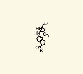 COC(=O)C1CCc2cc(Nc3[nH]c(C=O)cc3OCI)ccc21